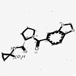 O=C(NC1(C(=O)O)CC1)[C@@H]1CCCN1C(=O)c1ccc2c(c1)OCO2